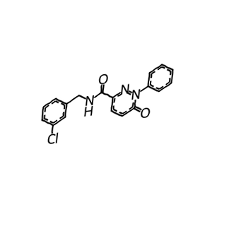 O=C(NCc1cccc(Cl)c1)c1ccc(=O)n(-c2ccccc2)n1